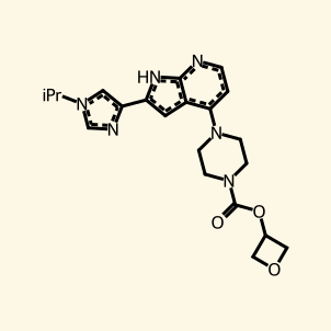 CC(C)n1cnc(-c2cc3c(N4CCN(C(=O)OC5COC5)CC4)ccnc3[nH]2)c1